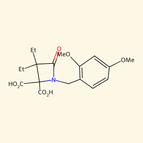 CCC1(CC)C(=O)N(Cc2ccc(OC)cc2OC)C1(C(=O)O)C(=O)O